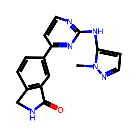 Cn1nccc1Nc1nccc(-c2ccc3c(c2)C(=O)NC3)n1